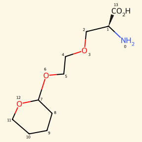 N[C@@H](COCCOC1CCCCO1)C(=O)O